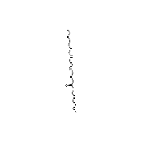 CCCCCCOC(=O)CCCOCCOCCOCCCC